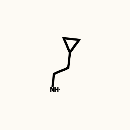 [NH]CCC1CC1